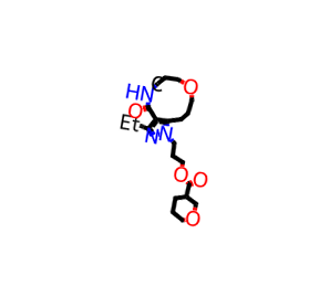 CCc1nn(CCCOC(=O)C2CCCOC2)c2c1C(=O)NCCCOCCC2